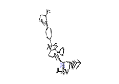 CN/C=C(\C=N)N1CCc2nc(-c3ccc(N4CCC(F)C4)cc3)sc2C1=O